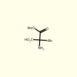 CCCCC(N)(C(=O)O)C(=O)OC